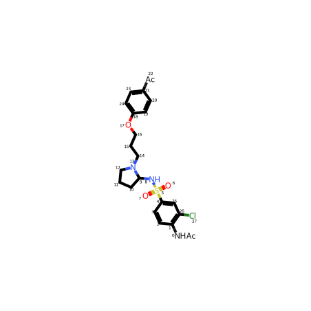 CC(=O)Nc1ccc(S(=O)(=O)NC2CCCN2CCCOc2ccc(C(C)=O)cc2)cc1Cl